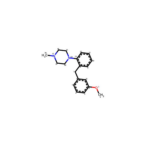 COc1cccc(Cc2ccc[c]c2N2CCN(C)CC2)c1